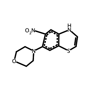 O=[N+]([O-])c1cc2c(cc1N1CCOCC1)SC=CN2